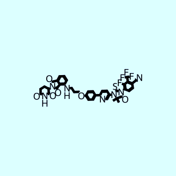 CC1(C)C(=O)N(c2ccc(C#N)c(C(F)(F)F)c2F)C(=S)N1c1ccc(-c2ccc(OCCCNc3cccc4c3C(=O)N(C3CCC(=O)NC3=O)C4=O)cc2)nc1